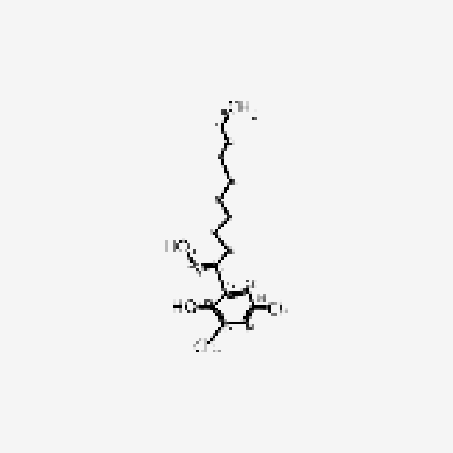 CCCCCCCCCC(=NO)c1cc(Cl)cc(Cl)c1O